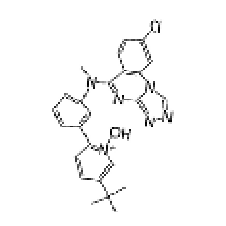 CN(c1cccc(-c2ccc(C(C)(C)C)c[n+]2O)c1)c1nc2nncn2c2cc(Cl)ccc12